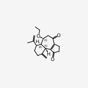 C=C(C)C1CCC(=C)[C@H]2C3=C(CCC3=O)C(=O)C[C@H](OCC)[C@H]12